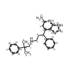 CC(C)(CNCCC(c1ccccc1)c1cc(N)nc2[nH]nnc12)c1ccccc1